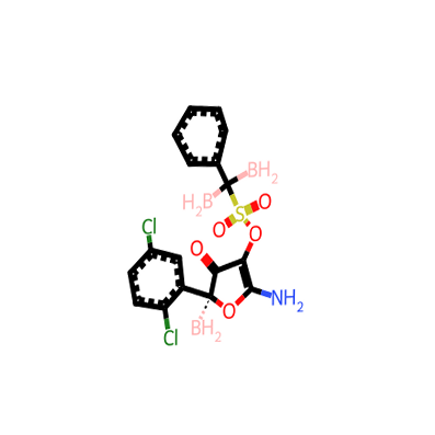 BC(B)(c1ccccc1)S(=O)(=O)OC1=C(N)O[C@@](B)(c2cc(Cl)ccc2Cl)C1=O